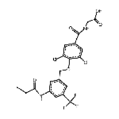 CCC(=O)Nc1cc(COc2c(Cl)cc(C(=O)NCC(=O)O)cc2Cl)cc(C(F)(F)F)c1